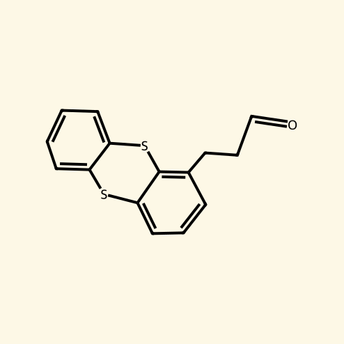 O=CCCc1cccc2c1Sc1ccccc1S2